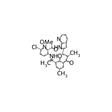 COC(=O)c1nc(Cl)ccc1N[C@H](C)c1cc(C)cc2c(=O)c(C)c(-c3cc4cccnc4[nH]3)oc12